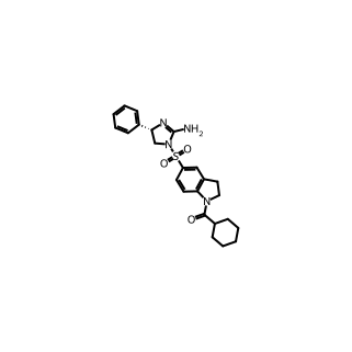 NC1=N[C@@H](c2ccccc2)CN1S(=O)(=O)c1ccc2c(c1)CCN2C(=O)C1CCCCC1